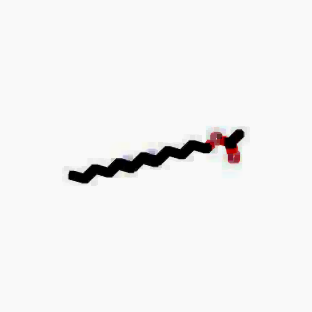 CCCC/C=C/C=C/CCCCOC(C)=O